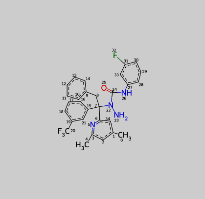 Cc1cc(C)nc(C(Cc2ccccc2)(c2cccc(C(F)(F)F)c2)N(N)C(=O)Nc2cccc(F)c2)c1